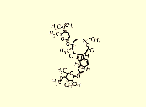 CC[C@H]1CCC[C@H](O[C@H]2CC[C@H](N(C)C)[C@@H](C)O2)[C@@H](C)C(=O)C2=CC3[C@@H](C=C[C@@H]4C[C@@H](O[C@@H]5O[C@@H](C)[C@H](OC)[C@@H](O)[C@H]5O)C[C@@H]34)[C@@H]2CC(=O)O1